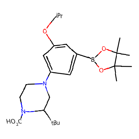 CC(C)Oc1cc(B2OC(C)(C)C(C)(C)O2)cc(N2CCN(C(=O)O)C(C(C)(C)C)C2)c1